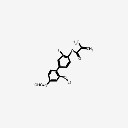 C=C(C)C(=O)Oc1ccc(-c2ccc(OC=O)cc2OCC)cc1F